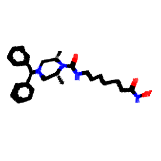 C[C@@H]1CN(C(c2ccccc2)c2ccccc2)C[C@H](C)N1C(=O)NCCCCCCC(=O)NO